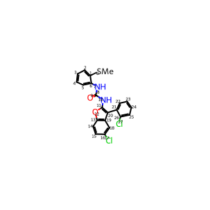 CSc1ccccc1NC(=O)Nc1oc2ccc(Cl)cc2c1-c1ccccc1Cl